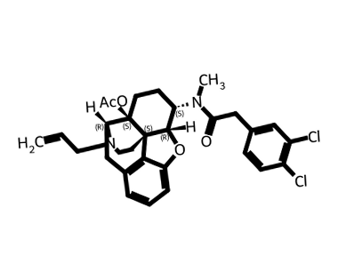 C=CCN1CC[C@]23c4c5cccc4O[C@H]2[C@@H](N(C)C(=O)Cc2ccc(Cl)c(Cl)c2)CC[C@@]3(OC(C)=O)[C@H]1C5